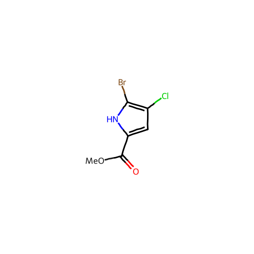 COC(=O)c1cc(Cl)c(Br)[nH]1